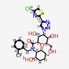 O=C([C@@H]1O[C@H](CO)[C@H](O)[C@H](n2cc(-c3nc(Cl)cs3)nn2)[C@H]1O)N(Cc1ccccc1C(F)(F)F)[C@H]1CCCC[C@@H]1O